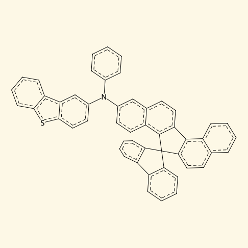 c1ccc(N(c2ccc3c4c(ccc3c2)-c2c(ccc3ccccc23)C42c3ccccc3-c3ccccc32)c2ccc3sc4ccccc4c3c2)cc1